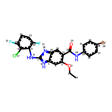 CCOc1cc2[nH]c(Nc3c(F)ccc(F)c3Cl)nc2cc1C(=O)Nc1ccc(Br)cc1